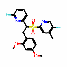 COc1ccc(CC(c2cccc(F)n2)S(=O)(=O)c2cc(C)c(F)cn2)c(OC)c1